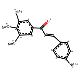 COc1cc(C(=O)C=Cc2ccc(NC(C)=O)cc2)cc(OC)c1OC